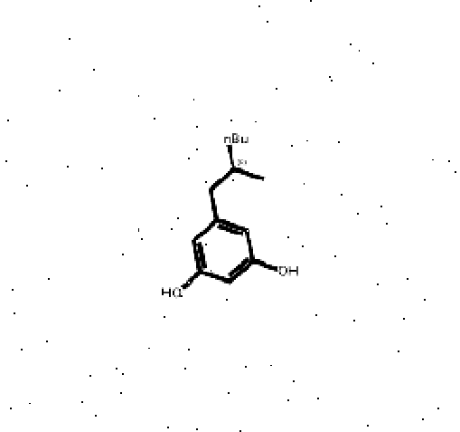 CCCC[C@@H](C)Cc1cc(O)cc(O)c1